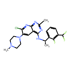 Cc1nc(N[C@H](C)c2cccc(C(F)F)c2F)c2cc(N3CCN(C)CC3)c(Cl)nc2n1